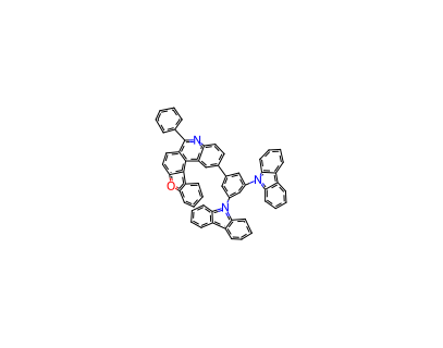 c1ccc(-c2nc3ccc(-c4cc(-n5c6ccccc6c6ccccc65)cc(-n5c6ccccc6c6ccccc65)c4)cc3c3c2ccc2oc4ccccc4c23)cc1